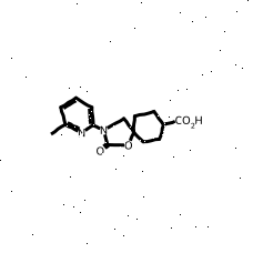 Cc1cccc(N2CC3(CCC(C(=O)O)CC3)OC2=O)n1